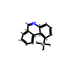 [CH3][Sn]([CH3])([CH3])[c]1cccc2ncc3ccccc3c12